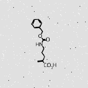 C=C(CCCNC(=O)OCc1ccccc1)C(=O)O